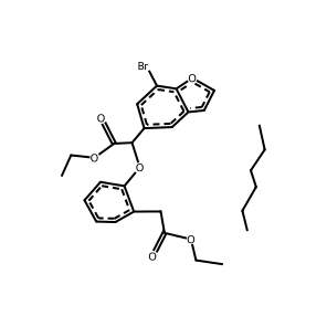 CCCCCC.CCOC(=O)Cc1ccccc1OC(C(=O)OCC)c1cc(Br)c2occc2c1